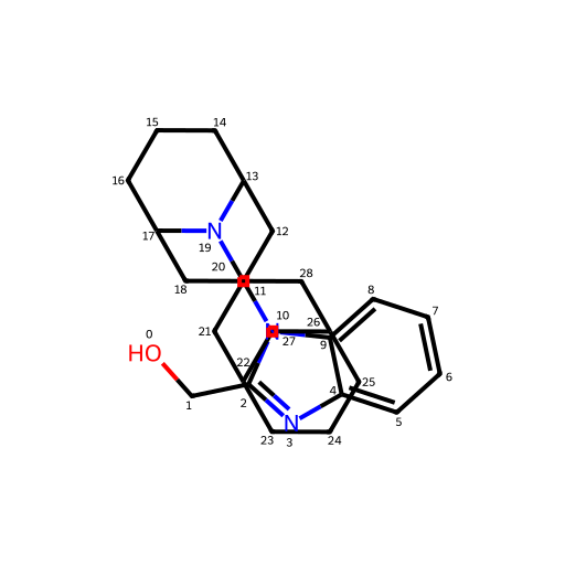 OCc1nc2ccccc2n1C1CC2CCCC(C1)N2C1CC2CCCC(C2)C1